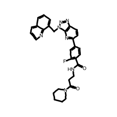 O=C(NCCC(=O)N1CCCCC1)c1ccc(-c2ccc3nnn(Cc4cccc5cccnc45)c3n2)cc1F